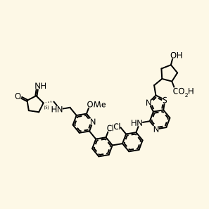 COc1nc(-c2cccc(-c3cccc(Nc4nccc5sc(CC6CC(O)CC6C(=O)O)nc45)c3Cl)c2Cl)ccc1CNC[C@@H]1CCC(=O)C1=N